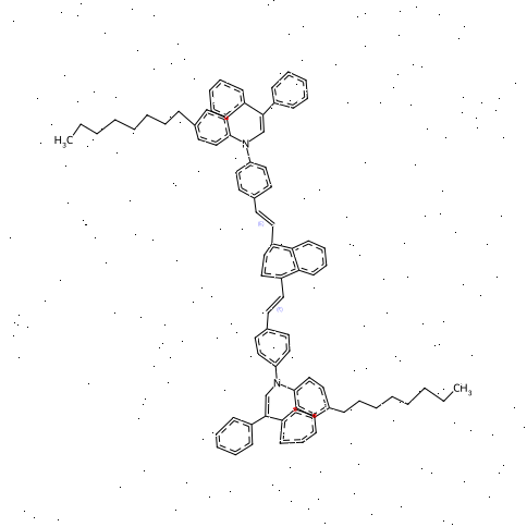 CCCCCCCCc1ccc(N(C=C(c2ccccc2)c2ccccc2)c2ccc(/C=C/c3ccc(/C=C/c4ccc(N(C=C(c5ccccc5)c5ccccc5)c5ccc(CCCCCCCC)cc5)cc4)c4ccccc34)cc2)cc1